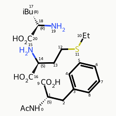 CC(=O)N[C@@H](Cc1ccccc1)C(=O)O.CCSCC[C@H](N)C(=O)O.CC[C@@H](C)[C@@H](N)C(=O)O